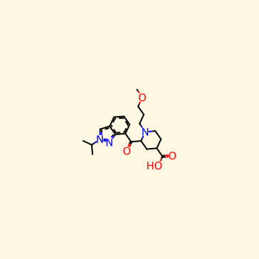 COCCCN1CCC(C(=O)O)CC1C(=O)c1cccc2cn(C(C)C)nc12